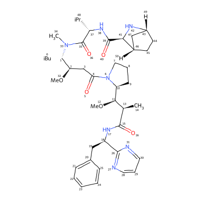 CC[C@H](C)[C@@H]([C@@H](CC(=O)N1CCC[C@H]1[C@H](OC)[C@@H](C)C(=O)N[C@H](Cc1ccccc1)c1ncccn1)OC)N(C)C(=O)[C@@H](NC(=O)[C@H]1N[C@@H]2CC[C@H]1C2)C(C)C